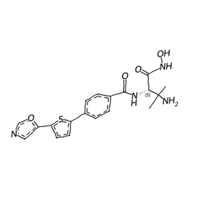 CC(C)(N)[C@H](NC(=O)c1ccc(-c2ccc(-c3cnco3)s2)cc1)C(=O)NO